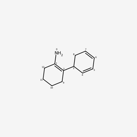 NC1=C(C2C=CC=CC2)CCCC1